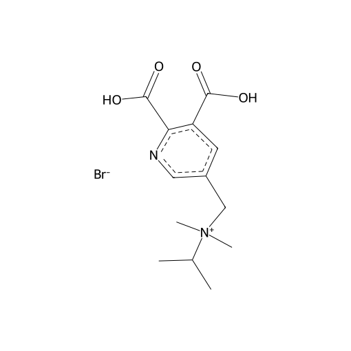 CC(C)[N+](C)(C)Cc1cnc(C(=O)O)c(C(=O)O)c1.[Br-]